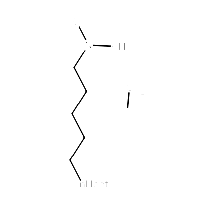 CCCCCCCCCCCCN(C)C.[CH2]CC